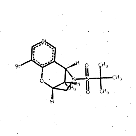 C[C@@H]1[C@@H]2CN(S(=O)(=O)C(C)(C)C)[C@H]1c1cncc(Br)c1O2